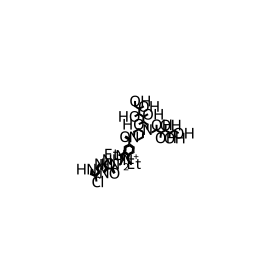 CCn1c(CNC(=O)c2nc3c(Cl)c[nH]c3nc2N)[n+](CC)c2ccc(C(=O)N3CCC(N(CC(O)C(O)C(O)C(O)CO)CC(O)C(O)C(O)C(O)CO)CC3)cc21